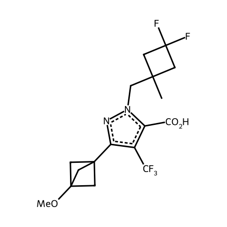 COC12CC(c3nn(CC4(C)CC(F)(F)C4)c(C(=O)O)c3C(F)(F)F)(C1)C2